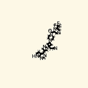 N#CCC1(n2cc(-c3ncnc4[nH]ccc34)cn2)CC(N2CCN(C(=O)c3cncc(C(F)(F)F)n3)CC2)C1